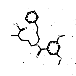 COc1cc(OC)cc(C(=O)N(CCCc2ccccc2)CCCC(C)C(=O)O)c1